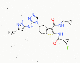 Cn1nc(C(F)(F)F)cc1Nc1nncn1[C@H]1CCc2sc(NC(=O)C3CC3F)c(C(=O)NCC3CC3)c2C1